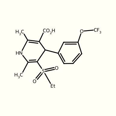 CCS(=O)(=O)C1=C(C)NC(C)=C(C(=O)O)C1c1cccc(OC(F)(F)F)c1